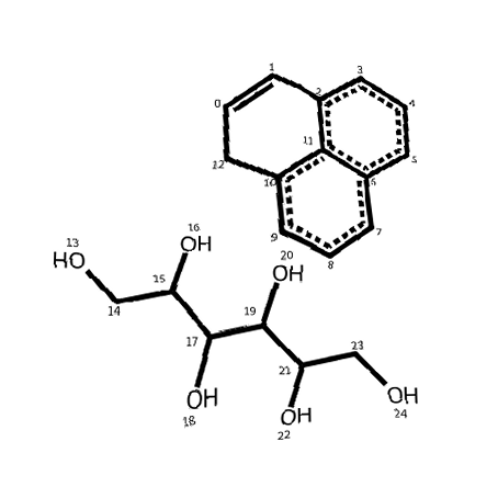 C1=Cc2cccc3cccc(c23)C1.OCC(O)C(O)C(O)C(O)CO